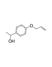 C=CCOc1ccc(C(C)O)cc1